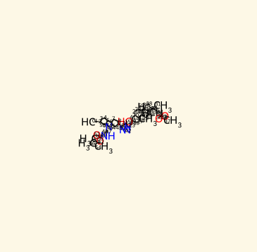 C#Cc1ccc2c3ccc(-c4cn(C[C@]5(O)CCC6(C)C(CC[C@@H]7C6CCC6(C)C([C@H](C)CCC(=O)OC)CC[C@@H]76)C5)nn4)cc3n(CCNC(=O)OC(C)(C)C)c2c1